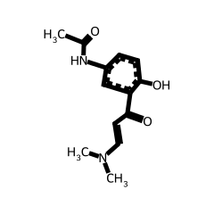 CC(=O)Nc1ccc(O)c(C(=O)/C=C/N(C)C)c1